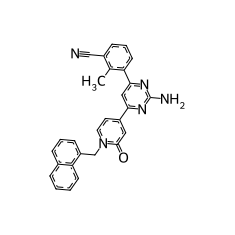 Cc1c(C#N)cccc1-c1cc(-c2ccn(Cc3cccc4ccccc34)c(=O)c2)nc(N)n1